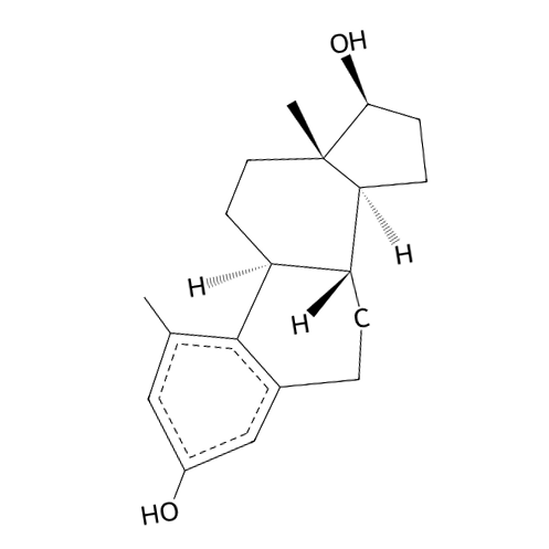 Cc1cc(O)cc2c1[C@H]1CC[C@]3(C)[C@@H](O)CC[C@H]3[C@@H]1CC2